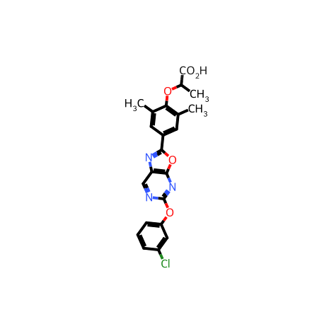 Cc1cc(-c2nc3cnc(Oc4cccc(Cl)c4)nc3o2)cc(C)c1OC(C)C(=O)O